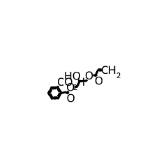 C=CC(=O)OCC(O)COC(=O)c1ccccc1C(=O)O